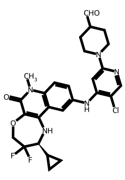 Cn1c(=O)c2c(c3cc(Nc4cc(N5CCC(C=O)CC5)ncc4Cl)ccc31)N[C@@H](C1CC1)C(F)(F)CO2